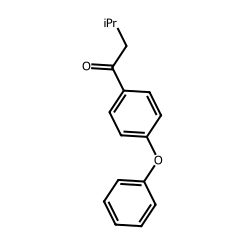 CC(C)CC(=O)c1ccc(Oc2ccccc2)cc1